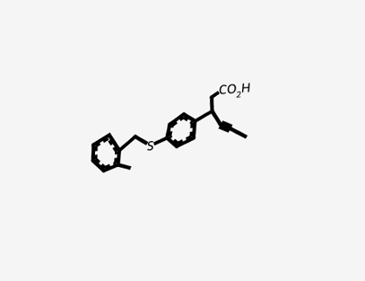 CC#CC(CC(=O)O)c1ccc(SCc2ccccc2C)cc1